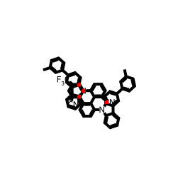 Cc1cccc(-c2ccc3c(c2)c2ccccc2n3-c2cccc(C#N)c2-c2c(-c3ccc(C(F)(F)F)cc3C#N)cccc2-n2c3ccccc3c3cc(-c4cccc(C)c4)ccc32)c1